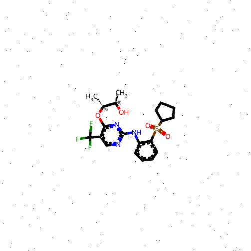 C[C@@H](O)[C@@H](C)Oc1nc(Nc2ccccc2S(=O)(=O)C2CCCC2)ncc1C(F)(F)F